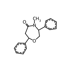 CN1C(=O)CC(c2ccccc2)OCC1c1ccccc1